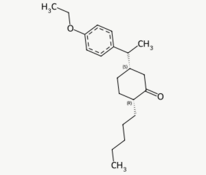 CCCCC[C@@H]1CC[C@H](C(C)c2ccc(OCC)cc2)CC1=O